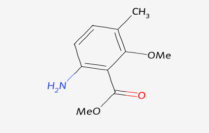 COC(=O)c1c(N)ccc(C)c1OC